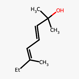 CCC(C)=CC=CC(C)(C)O